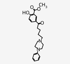 COC(=O)c1cc(C(=O)CCCCN2CCN(c3ccccc3)CC2)ccc1O